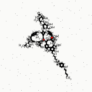 CCCCCNc1ccc(S(=O)(=O)NCCCCNCc2c(O)cc3c(c2C)-c2cc(ccc2O)[C@H]2NC(=O)[C@@H]4NC(=O)[C@H](CC(N)=O)NC(=O)[C@H](NC(=O)[C@@H](CC(C)C)NC)[C@H](O)c5ccc(c(C)c5)Oc5cc4cc(c5O[C@@H]4O[C@H](CO)[C@@H](O)[C@H](O)[C@H]4O[C@H]4C[C@]5(C)NC(=O)O[C@@H]5[C@H](C)O4)Oc4ccc(cc4Cl)[C@@H](O)[C@H](NC2=O)C(=O)N[C@@H]3C(=O)O)cc1